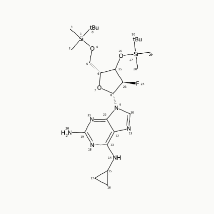 CC(C)(C)[Si](C)(C)OC[C@H]1O[C@@H](n2cnc3c(NC4CC4)nc(N)nc32)[C@H](F)C1O[Si](C)(C)C(C)(C)C